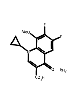 COc1c(F)c(F)cc2c(=O)c(C(=O)O)cn(C3CC3)c12.[BH2]